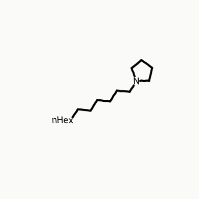 [CH2]CCCCCCCCCCCN1CCCC1